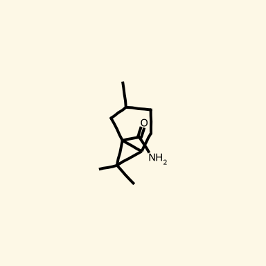 CC1CCC2C(C)(C)C2(C(N)=O)C1